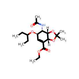 CCOC(=O)C1=C[C@@H](OC(CC)CC)[C@H](NC(C)=O)[C@@H]2OC(C)(C)O[C@H]12